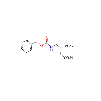 CCCCCC[C@@H](CNC(=O)OCc1ccccc1)CC(=O)O